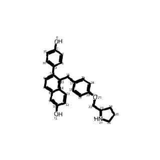 Oc1ccc(-c2ccc3cc(O)ccc3c2Cc2ccc(OCC3CCCN3)cc2)cc1